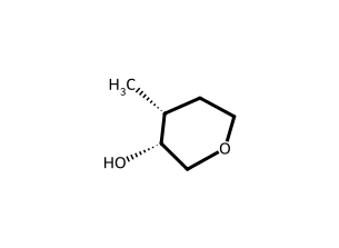 C[C@@H]1CCOC[C@@H]1O